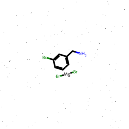 NCc1c[c]cc(Br)c1.[Br][Mg][Br]